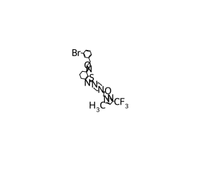 Cc1cc(C(F)(F)F)nn1CC(=O)N1CCN(c2nc3c(s2)C(=NOCc2cccc(Br)c2)CCC3)CC1